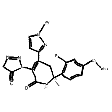 CCCCOc1ccc([C@]2(C)CC(c3ccn(C(C)C)n3)=C(N3N=NCC3=O)C(=O)N2)c(F)c1